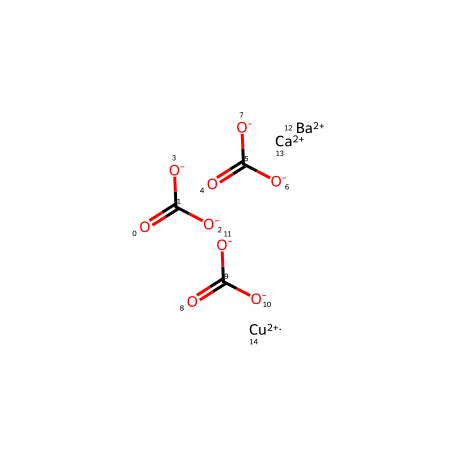 O=C([O-])[O-].O=C([O-])[O-].O=C([O-])[O-].[Ba+2].[Ca+2].[Cu+2]